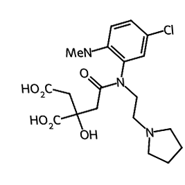 CNc1ccc(Cl)cc1N(CCN1CCCC1)C(=O)CC(O)(CC(=O)O)C(=O)O